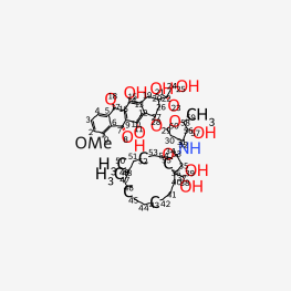 COc1cccc2c1C(=O)c1c(O)c3c(c(O)c1C2=O)C[C@@](O)(C(=O)CO)C[C@@H]3O[C@H]1CC(NC(=O)CC2(C(O)O)CCCCCCCCC(C)(C)CCCCC2)[C@H](O)C(C)O1